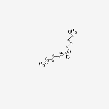 CCCCCOC(=O)SCCCCC